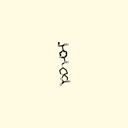 C=NC(=N)c1ccc(NC[C@H]2CC[C@]3(CC2)CNC(=O)O3)nc1